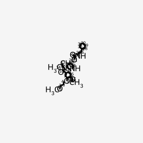 COCCCOc1cc(C(=O)N(C(C)C)C2CNC[C@@H](COC(=O)NCCc3ccccc3)C2)ccc1OC